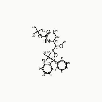 COC(CO[Si](c1ccccc1)(c1ccccc1)C(C)(C)C)C(CI)NC(=O)OC(C)(C)C